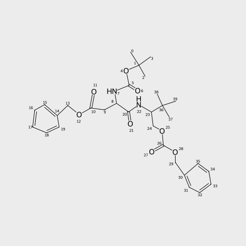 CC(C)(C)OC(=O)NC(CC(=O)OCc1ccccc1)C(=O)NC(COC(=O)OCc1ccccc1)C(C)(C)C